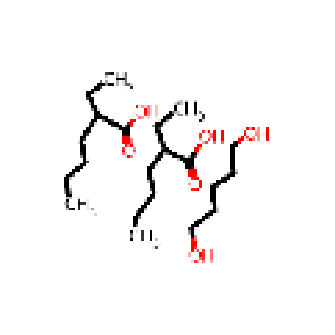 CCCCC(CC)C(=O)O.CCCCC(CC)C(=O)O.OCCCCCO